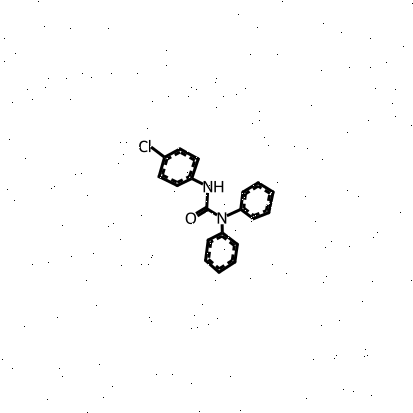 O=C(Nc1ccc(Cl)cc1)N(c1ccccc1)c1ccccc1